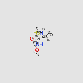 CCOCNC(C=O)CC[SH](C)N(C)CC(C)CC